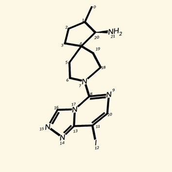 CC1CCC2(CCN(c3ncc(I)c4nncn34)CC2)[C@@H]1N